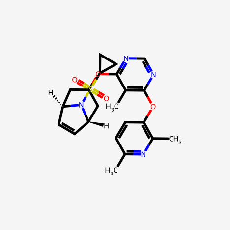 Cc1ccc(Oc2ncnc(OC3C[C@@H]4C=C[C@@H](C3)N4S(=O)(=O)C3CC3)c2C)c(C)n1